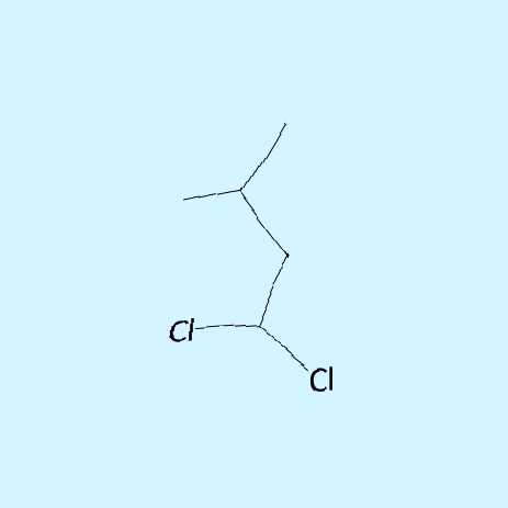 CC(C)CC(Cl)Cl